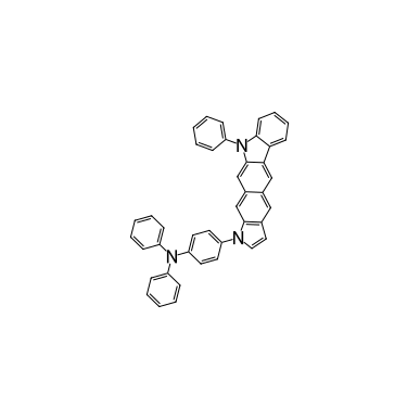 c1ccc(N(c2ccccc2)c2ccc(-n3ccc4cc5cc6c7ccccc7n(-c7ccccc7)c6cc5cc43)cc2)cc1